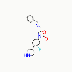 O=C1O[C@@H](C/N=C/c2ccccc2)CN1c1ccc(C2CCNCC2)c(F)c1